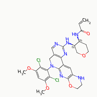 C=CC(=O)N[C@H]1CCOC[C@H]1Nc1ncc2c(n1)-c1cc3c(nc1N(c1c(Cl)c(OC)cc(OC)c1Cl)C2)OCCN3